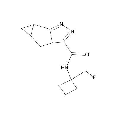 O=C(NC1(CF)CCC1)C1=NN=C2C1CC1CC21